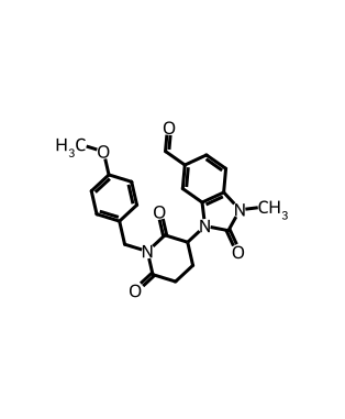 COc1ccc(CN2C(=O)CCC(n3c(=O)n(C)c4ccc(C=O)cc43)C2=O)cc1